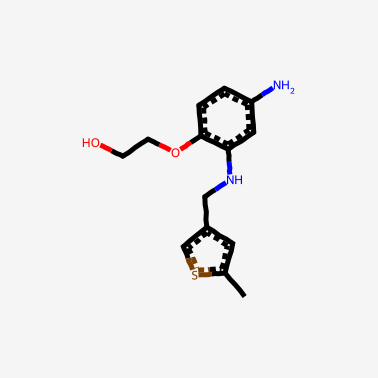 Cc1cc(CNc2cc(N)ccc2OCCO)cs1